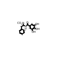 O=C(NC(Cc1ccccc1)C(=O)O)c1cc(O)c(O)c(O)c1